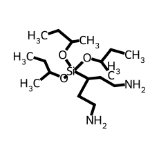 CCC(C)O[Si](OC(C)CC)(OC(C)CC)C(CCN)CCN